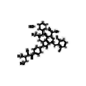 CC(C)C(=O)c1cn(Cc2c(F)cccc2F)c2sc(-c3ccc(NC(=O)C(C)CO)cc3)c(CN(C)Cc3ccccc3)c2c1=O.Cl